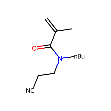 C=C(C)C(=O)N(CCC#N)CCCC